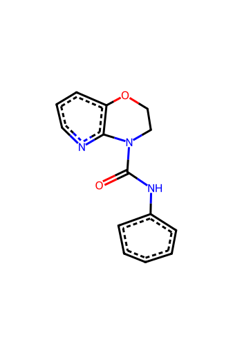 O=C(Nc1ccccc1)N1CCOc2cccnc21